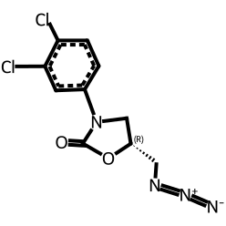 [N-]=[N+]=NC[C@H]1CN(c2ccc(Cl)c(Cl)c2)C(=O)O1